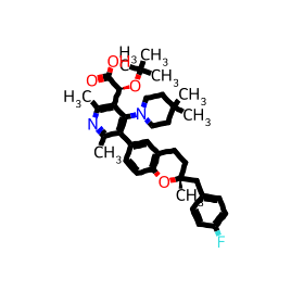 Cc1nc(C)c([C@H](OC(C)(C)C)C(=O)O)c(N2CCC(C)(C)CC2)c1-c1ccc2c(c1)CC[C@](C)(Cc1ccc(F)cc1)O2